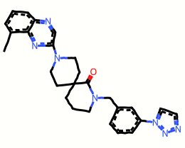 Cc1cccc2ncc(N3CCC4(CCCN(Cc5cccc(-n6ccnn6)c5)C4=O)CC3)nc12